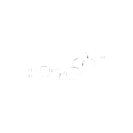 O=C(NO)c1ccc2c(c1)OCCN(C(=O)CN1CCS(O)(O)CC1)C2